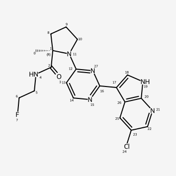 C[C@]1(C(=O)NCCF)CCCN1c1ccnc(-c2c[nH]c3ncc(Cl)cc23)n1